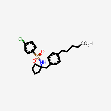 O=C(O)CCCCc1ccc(CC2(NS(=O)(=O)c3ccc(Cl)cc3)CCCC2)cc1